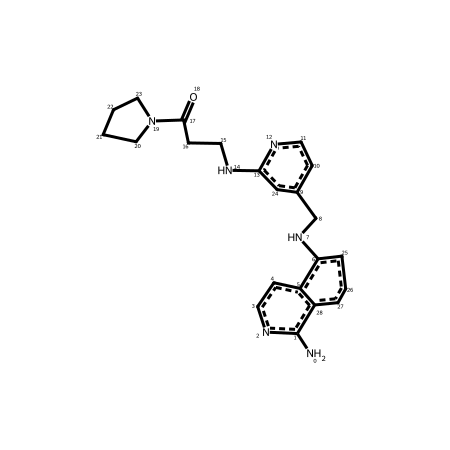 Nc1nccc2c(NCc3ccnc(NCCC(=O)N4CCCC4)c3)cccc12